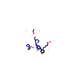 COC(=O)CCCCc1c(Cl)cc(O)cc1-c1ncc2c(N3CCCC(CCNC(=O)OC(C)(C)C)C3)nc(OC[C@@]34CCCN3C[C@H](F)C4)nc2c1F